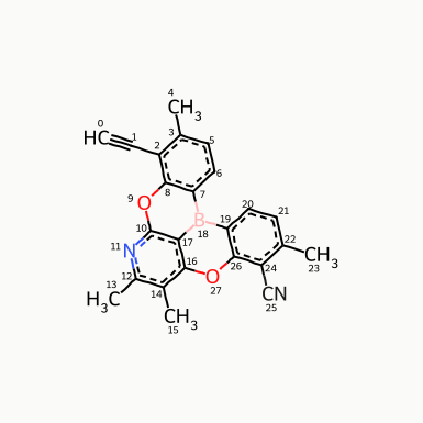 C#Cc1c(C)ccc2c1Oc1nc(C)c(C)c3c1B2c1ccc(C)c(C#N)c1O3